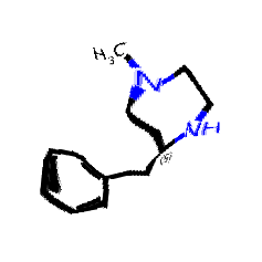 CN1CCN[C@@H](Cc2ccccc2)C1